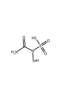 NC(=O)N([SeH])S(=O)(=O)S